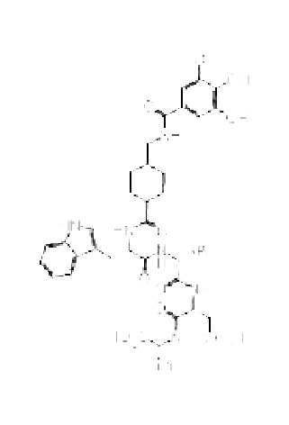 CC(C)[C@@H](NC(=O)[C@H](CC(=O)O)NC(=O)[C@H](NC(=O)[C@H](Cc1c[nH]c2ccccc12)NC(=O)C1CCC(CNC(=O)c2cc(O)c(O)c(O)c2)CC1)C(C)C)C(=O)O